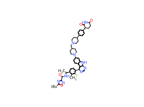 Cc1c([C@@H](C)NC(=O)c2noc(C(C)(C)C)n2)ccc(-c2ncnc3[nH]c4cc(N5CCC(CN6CCC(c7ccc(C8CCC(=O)NC8=O)cc7)CC6)CC5)ccc4c23)c1F